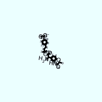 CC1Oc2ccc(C(N)C(=O)OC(C)(C)CCc3ccc([N+](=O)[O-])cc3)cc2NC1=O